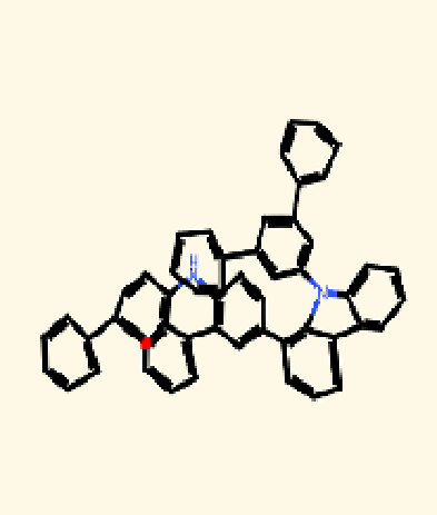 c1ccc(-c2ccc(Nc3ccc(-c4cccc5c6ccccc6n(-c6cc(-c7ccccc7)cc(-c7ccccc7)c6)c45)cc3-c3ccccc3)cc2)cc1